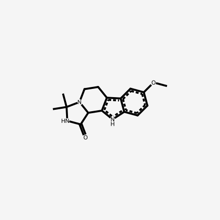 COc1ccc2[nH]c3c(c2c1)CCN1C3C(=O)NC1(C)C